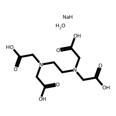 O.O=C(O)CN(CCN(CC(=O)O)CC(=O)O)CC(=O)O.[NaH]